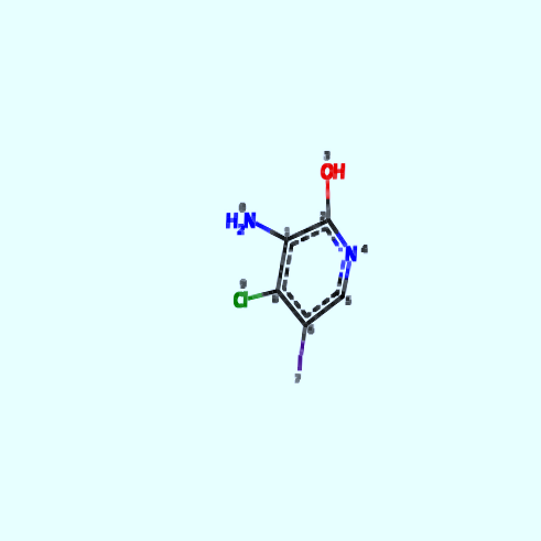 Nc1c(O)ncc(I)c1Cl